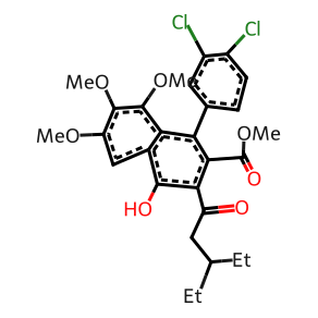 CCC(CC)CC(=O)c1c(C(=O)OC)c(-c2ccc(Cl)c(Cl)c2)c2c(OC)c(OC)c(OC)cc2c1O